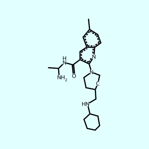 Cc1ccc2nc(N3CCC(CNC4CCCCC4)CC3)c(C(=O)NC(C)N)cc2c1